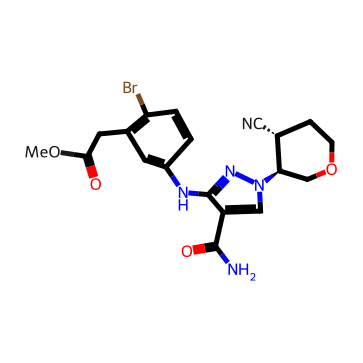 COC(=O)Cc1cc(Nc2nn([C@@H]3COCC[C@H]3C#N)cc2C(N)=O)ccc1Br